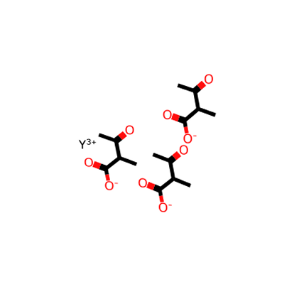 CC(=O)C(C)C(=O)[O-].CC(=O)C(C)C(=O)[O-].CC(=O)C(C)C(=O)[O-].[Y+3]